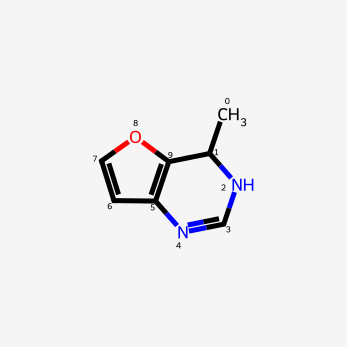 CC1NC=Nc2ccoc21